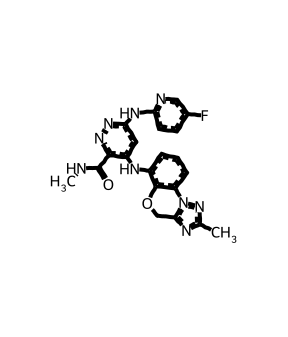 CNC(=O)c1nnc(Nc2ccc(F)cn2)cc1Nc1cccc2c1OCc1nc(C)nn1-2